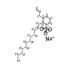 C=CCc1cccc(S(=O)(=O)[O-])c1CCCCCCCCCCCC.[Na+]